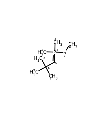 CSP(C)(C)=CC(C)(C)C